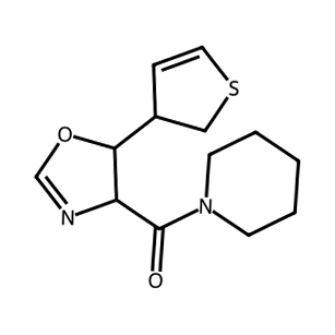 O=C(C1N=COC1C1C=CSC1)N1CCCCC1